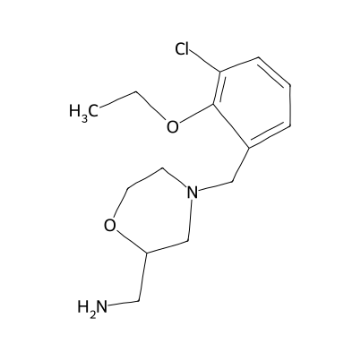 CCOc1c(Cl)cccc1CN1CCOC(CN)C1